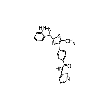 Cc1sc(-c2n[nH]c3ccccc23)nc1-c1ccc(C(=O)Nc2cccnc2)cc1